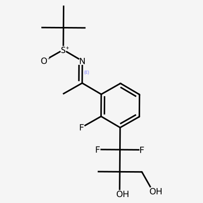 C/C(=N\[S+]([O-])C(C)(C)C)c1cccc(C(F)(F)C(C)(O)CO)c1F